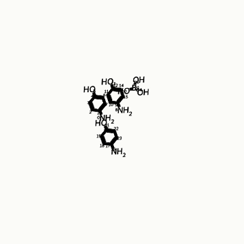 Nc1ccc(O)cc1.Nc1ccc(O)cc1.Nc1ccc(O)cc1.OB(O)O